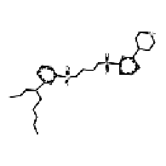 CCCCCC(CCC)c1cccc(S(=O)(=O)CCCCS(=O)(=O)c2cccc(C3CCNCC3)c2)c1